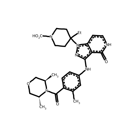 CCC1(n2nc(Nc3ccc(C(=O)N4[C@H](C)COC[C@H]4C)c(C)c3)c3c(=O)[nH]ccc32)CCN(C(=O)O)CC1